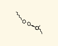 CCCCCCC[C@H]1CC[C@H](C2CCC(C#Cc3ccc(CCCC)c(F)c3)CC2)CC1